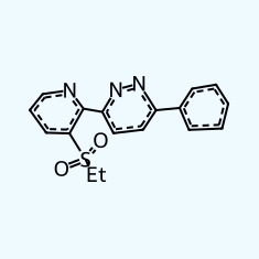 CCS(=O)(=O)c1cccnc1-c1ccc(-c2ccccc2)nn1